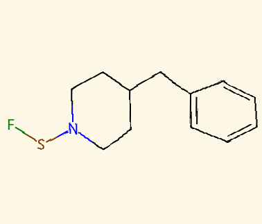 FSN1CCC(Cc2ccccc2)CC1